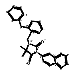 CC1(C)C(=O)N(c2ccc3ccccc3c2)C(=O)N1Cc1ccccc1Cc1ccccc1